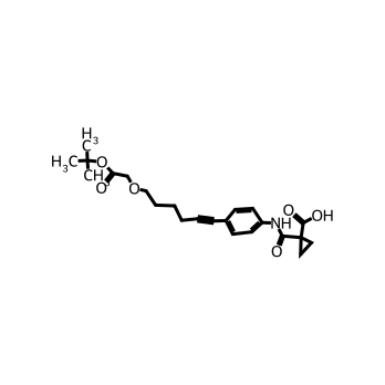 CC(C)(C)OC(=O)COCCCCC#Cc1ccc(NC(=O)C2(C(=O)O)CC2)cc1